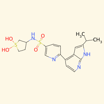 CC(C)c1cc2c(-c3ccc(S(=O)(=O)NC4CCS(O)(O)C4)cn3)ccnc2[nH]1